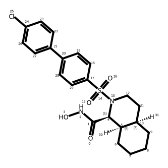 O=C(NO)[C@@H]1[C@@H]2CCCC[C@@H]2CCN1S(=O)(=O)c1ccc(-c2ccc(Cl)cc2)cc1